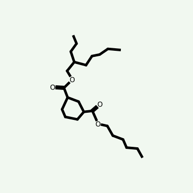 CCCCCCOC(=O)C1CCCC(C(=O)OCC(CCC)CCCCC)C1